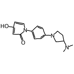 CN(C)C1CCN(c2ccc(-n3ccc(O)cc3=O)cc2)C1